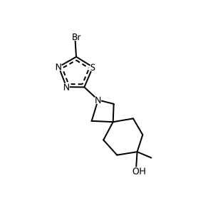 CC1(O)CCC2(CC1)CN(c1nnc(Br)s1)C2